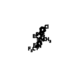 CCSc1c(-c2nc3cc(C(F)(F)C(F)(F)F)ncc3n2C)sc2cc(Cl)ccc12